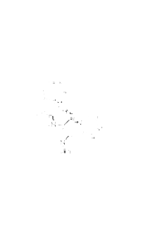 CC(C)N=Cc1nc(Cl)c(N2CCOCC2)nc1N1CCOCC1